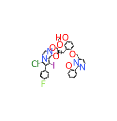 CCOC(=O)[C@@H](Cc1cc(O)ccc1OCc1ccnc(-c2ccccc2OC)n1)Oc1nccn2c(Cl)c(-c3ccc(F)cc3)c(I)c12